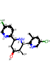 Cc1cc(Cl)cnc1[C@@H]1NC(c2ccc(Cl)cn2)CC(=O)[C@@H]1C